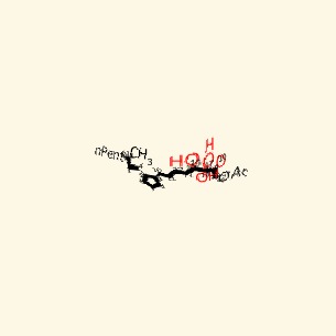 CCCCC[C@@H](C)C=C[C@H]1CCC[C@@H]1CCCCC(O)C(O)(O)C(=O)COC(C)=O